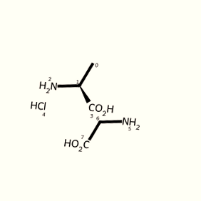 C[C@H](N)C(=O)O.Cl.NCC(=O)O